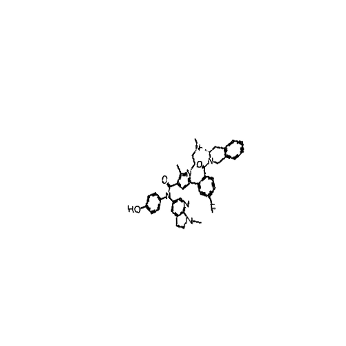 Cc1c(C(=O)N(c2ccc(O)cc2)c2cnc3c(c2)CCN3C)cc(-c2cc(F)ccc2C(=O)N2Cc3ccccc3C[C@H]2C)n1CCN(C)C